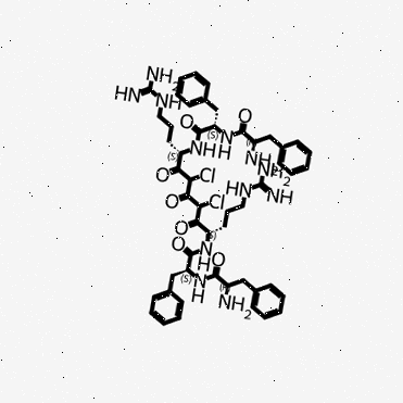 N=C(N)NCCC[C@H](NC(=O)[C@H](Cc1ccccc1)NC(=O)[C@H](N)Cc1ccccc1)C(=O)C(Cl)C(=O)C(Cl)C(=O)[C@H](CCCNC(=N)N)NC(=O)[C@H](Cc1ccccc1)NC(=O)[C@H](N)Cc1ccccc1